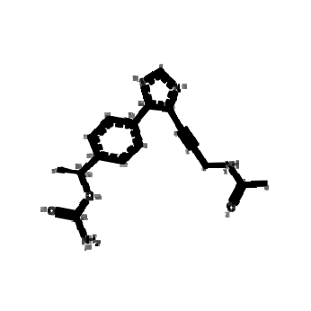 CC(=O)NCC#Cc1ncsc1-c1ccc([C@H](C)OC(N)=O)cc1